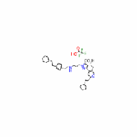 O=C(O)C(F)(F)F.O=C(O)c1c2c(nn1CCCNCCc1ccc(C=Cc3ccccc3)cc1)-c1cc(C=Cc3ccccc3)ncc1CC2